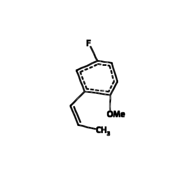 C/C=C\c1cc(F)ccc1OC